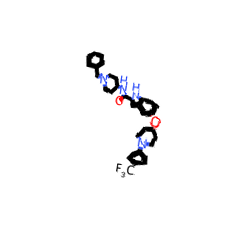 O=C(NC1CCN(Cc2ccccc2)CC1)c1cc2cc(OC3CCN(c4ccc(C(F)(F)F)cc4)CC3)ccc2[nH]1